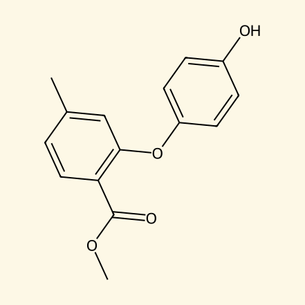 COC(=O)c1ccc(C)cc1Oc1ccc(O)cc1